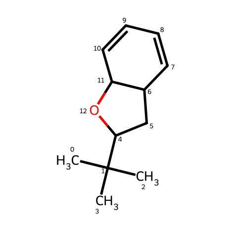 CC(C)(C)C1CC2C=CC=CC2O1